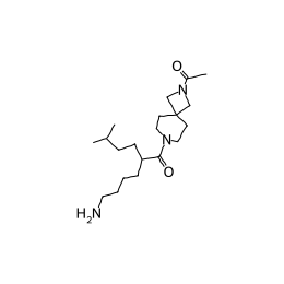 CC(=O)N1CC2(CCN(C(=O)C(CCCCN)CCC(C)C)CC2)C1